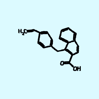 C=Cc1ccc(Cc2c(C(=O)O)ccc3ccccc23)cc1